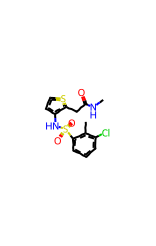 CNC(=O)Cc1sccc1NS(=O)(=O)c1cccc(Cl)c1C